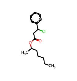 CCCCCC(C)OC(=O)CC(Cl)c1ccccc1